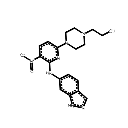 O=[N+]([O-])c1ccc(N2CCN(CCO)CC2)nc1Nc1ccc2cn[nH]c2c1